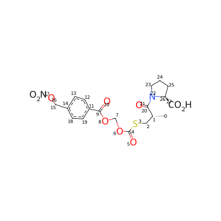 C[C@H](CSC(=O)OCOC(=O)c1ccc(CO[N+](=O)[O-])cc1)C(=O)N1CCC[C@H]1C(=O)O